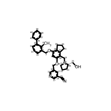 Cc1c(COc2cc(OCc3cncc(C#N)c3)c(CN3CCC[C@H]3CO)c3c2CCC3)cccc1-c1ccccc1